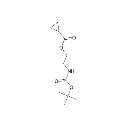 CC(C)(C)OC(=O)NCCOC(=O)C1CC1